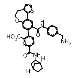 NCc1ccc(NC(=O)c2cc3c(cc2-c2ccc(C(=O)N[C@H]4C[C@@H]5CC[C@H]4C5)nc2C(=O)O)OCCc2ccsc2-3)cc1